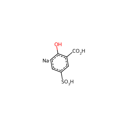 O=C(O)c1cc(S(=O)(=O)O)ccc1O.[Na]